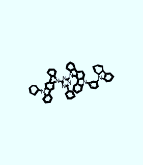 C1=CCCC(n2c3ccccc3c3cc4c(cc32)c2ccccc2n4-c2nc(-c3ccccc3)nc(-n3c4ccccc4c4ccc5c(c6ccccc6n5-c5cccc(N6c7ccccc7C7C=CC=CC76)c5)c43)n2)=C1